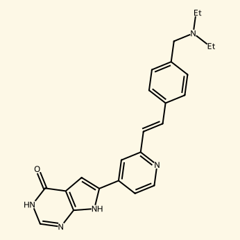 CCN(CC)Cc1ccc(C=Cc2cc(-c3cc4c(=O)[nH]cnc4[nH]3)ccn2)cc1